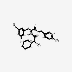 CC(C(=O)N[C@@H](Cc1cc(F)cc(F)c1)C(=O)NCc1ccc(N)nc1)N1CCCCC1